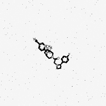 C[C@H]1CC2CN(C(=O)CN3CCC3c3ccc(F)cc3)C[C@H]1N2c1ccc(C#N)cn1